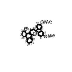 COc1ccc(C2(c3ccc(OC)cc3)C=Cc3c4c(c5ccccc5c3O2)CCCC4=O)cc1